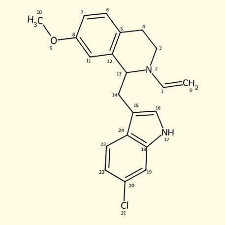 C=CN1CCc2ccc(OC)cc2C1Cc1c[nH]c2cc(Cl)ccc12